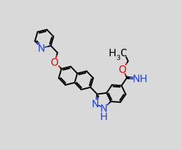 CCOC(=N)c1ccc2[nH]nc(-c3ccc4cc(OCc5ccccn5)ccc4c3)c2c1